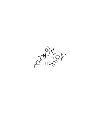 C[C@H]1CN([C@@H]2CC[C@@](C(=O)NCc3cc(OCC(=O)O)cc(C(F)(F)F)c3)(C3CC3)OC2)CCN1c1ccc(F)cc1